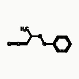 CC(C=C=O)O[N]c1ccccc1